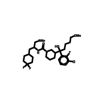 CNCC(CC1CCC(F)(F)CC1)NC(=O)N1CCCC(C(O)(CCCCOC)c2cccc(Cl)c2F)C1